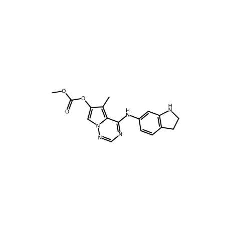 COC(=O)Oc1cn2ncnc(Nc3ccc4c(c3)NCC4)c2c1C